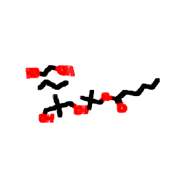 CC(C)(CO)CO.CCCC.CCCCCC(=O)OCC(C)(C)C.OCCO